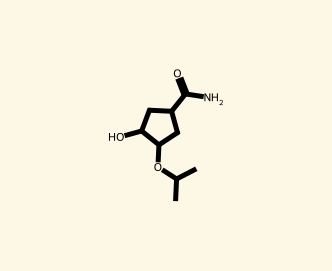 CC(C)OC1CC(C(N)=O)CC1O